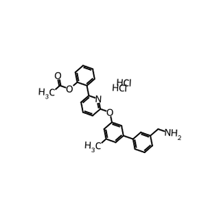 CC(=O)Oc1ccccc1-c1cccc(Oc2cc(C)cc(-c3cccc(CN)c3)c2)n1.Cl.Cl